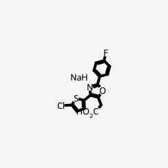 O=C(O)Cc1oc(-c2ccc(F)cc2)nc1-c1ccc(Cl)s1.[NaH]